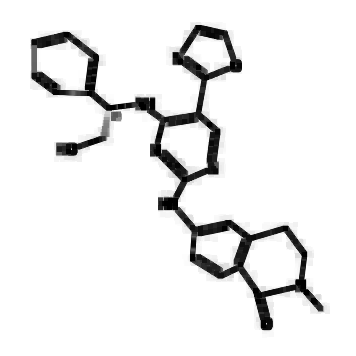 CN1CCc2cc(Nc3ncc(-c4ncco4)c(N[C@H](CO)c4ccccc4)n3)ccc2C1=O